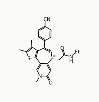 CCNC(=O)C[C@H]1N=C(c2ccc(C#N)cc2)c2c(sc(C)c2C)-c2cn(C)c(=O)cc21